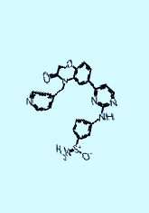 N[S+]([O-])c1cccc(Nc2nccc(-c3ccc4c(c3)N(Cc3ccncc3)C(=O)CO4)n2)c1